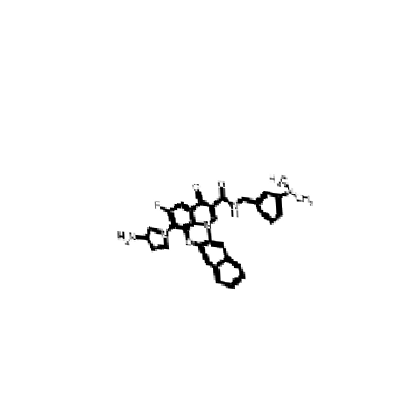 CN(C)c1cccc(CNC(=O)c2cn3c4c(c(N5CCC(N)C5)c(F)cc4c2=O)Oc2cc4ccccc4cc2-3)c1